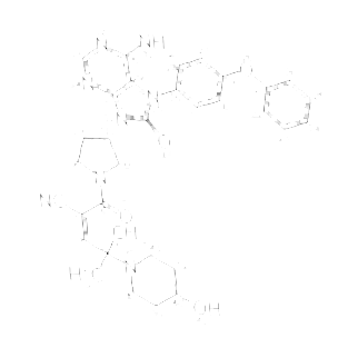 CC(C)(/C=C(/C#N)C(=O)N1CC[C@H](n2c(=O)n(-c3ccc(Oc4ccccc4)cc3)c3c(N)ncnc32)C1)N1CCC(O)CC1